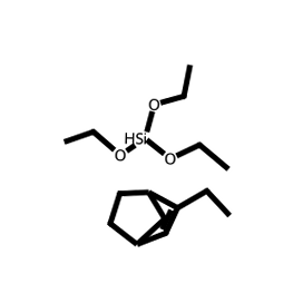 CCC1=CC2CCC1C2.CCO[SiH](OCC)OCC